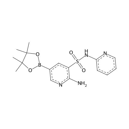 CC1(C)OB(c2cnc(N)c(S(=O)(=O)Nc3ccccn3)c2)OC1(C)C